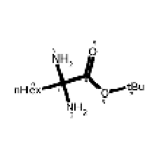 CCCCCCC(N)(N)C(=O)OC(C)(C)C